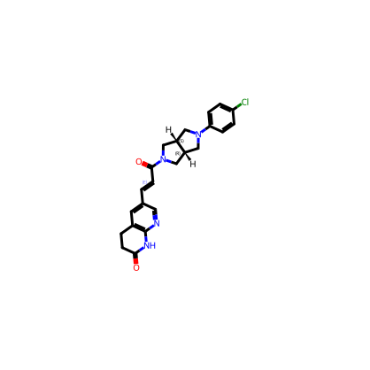 O=C1CCc2cc(/C=C/C(=O)N3C[C@@H]4CN(c5ccc(Cl)cc5)C[C@@H]4C3)cnc2N1